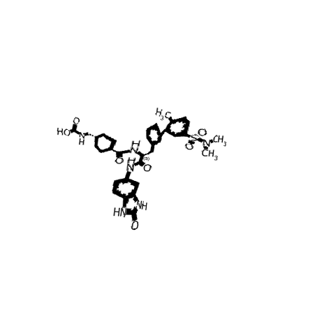 Cc1ccc(S(=O)(=O)N(C)C)cc1-c1cccc(C[C@H](NC(=O)[C@H]2CC[C@H](CNC(=O)O)CC2)C(=O)Nc2ccc3[nH]c(=O)[nH]c3c2)c1